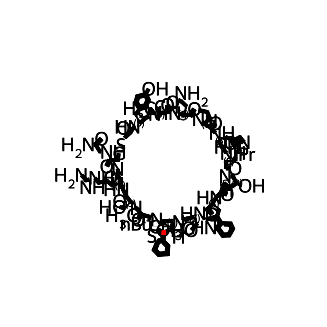 CCCC[C@H]1C(=O)N(C)[C@@H](CO)C(=O)N[C@@H](CCCNC(=N)N)C(=O)NC(C(=O)NCC(N)=O)CSCC(=O)N[C@@H](Cc2ccc(O)cc2)C(=O)N(C)[C@@H](C)C(=O)N[C@@H](CC(N)=O)C(=O)N2CCC[C@H]2C(=O)N[C@@H](Cc2cnc[nH]2)C(=O)N[C@@H](CC(C)C)C(=O)N2C[C@H](O)C[C@H]2C(=O)N[C@@H](Cc2c[nH]c3ccccc23)C(=O)N[C@@H](CO)C(=O)N[C@@H](Cc2csc3ccccc23)C(=O)N1C